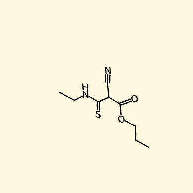 CCCOC(=O)C(C#N)C(=S)NCC